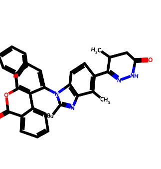 CCCCc1nc2c(C)c(C3=NNC(=O)CC3C)ccc2n1-c1ccccc1-c1ccccc1C(=O)OCc1ccccc1